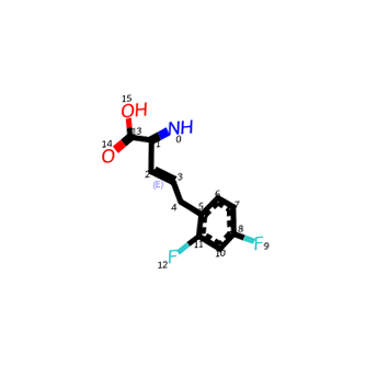 N=C(/C=C/Cc1ccc(F)cc1F)C(=O)O